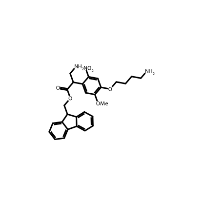 COc1cc(C(CN)C(=O)OCC2c3ccccc3-c3ccccc32)c([N+](=O)[O-])cc1OCCCCN